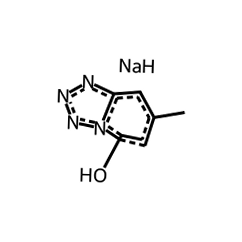 Cc1cc(O)n2nnnc2c1.[NaH]